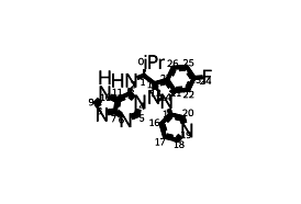 CC(C)[C@H](Nc1ncnc2nc[nH]c12)c1nn(-c2cccnc2)c2cc(F)ccc12